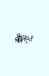 Nc1ncccc1C(=O)NCc1ccc(OCc2cccc(F)c2)cc1